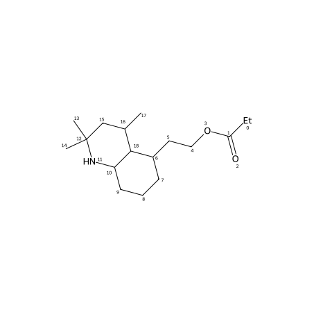 CCC(=O)OCCC1CCCC2NC(C)(C)CC(C)C12